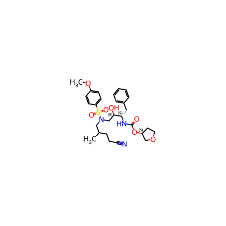 COc1ccc(S(=O)(=O)N(CC(C)CCC#N)C[C@@H](O)[C@H](Cc2ccccc2)NC(=O)O[C@H]2CCOC2)cc1